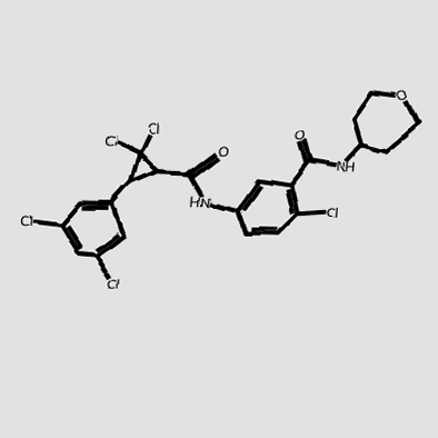 O=C(NC1CCOCC1)c1cc(NC(=O)C2C(c3cc(Cl)cc(Cl)c3)C2(Cl)Cl)ccc1Cl